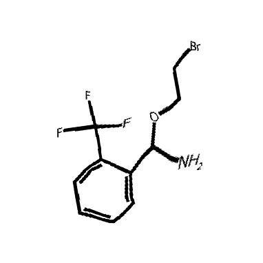 NC(OCCBr)c1ccccc1C(F)(F)F